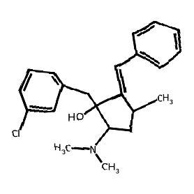 CC1CC(N(C)C)C(O)(Cc2cccc(Cl)c2)C1=Cc1ccccc1